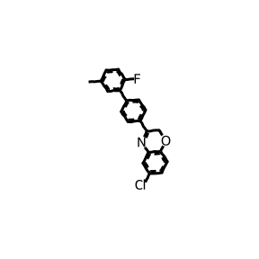 Cc1ccc(F)c(-c2ccc(C3=Nc4cc(Cl)ccc4OC3)cc2)c1